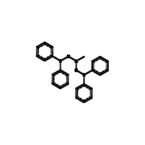 [CH3][Al]([O]B(c1ccccc1)c1ccccc1)[O]B(c1ccccc1)c1ccccc1